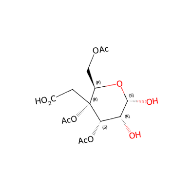 CC(=O)OC[C@H]1O[C@H](O)[C@H](O)[C@H](OC(C)=O)[C@]1(CC(=O)O)OC(C)=O